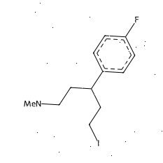 CNCCC(CCI)c1ccc(F)cc1